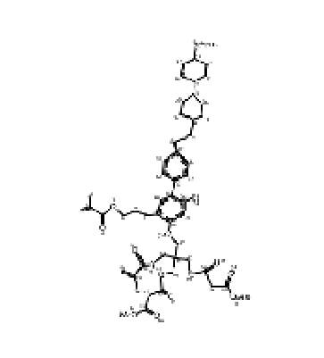 C=C(C)C(=O)OCCCc1cc(-c2ccc(CCC3CCC(C4CCC(CCCCC)CC4)CC3)cc2)c(CC)cc1OCC(COC(=O)CC(=O)OC)(COC(=O)CC(=O)OC)COC(=O)C(=C)C